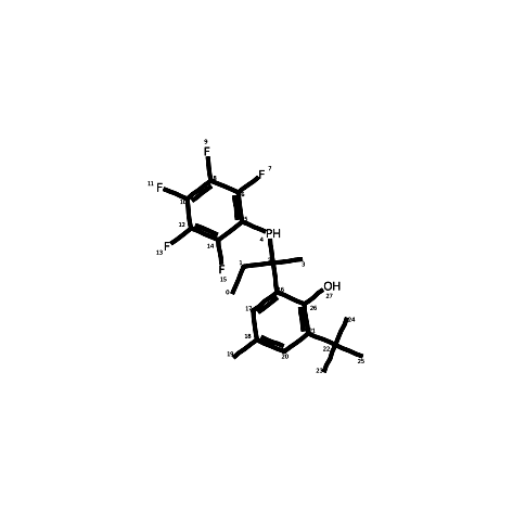 CCC(C)(Pc1c(F)c(F)c(F)c(F)c1F)c1cc(C)cc(C(C)(C)C)c1O